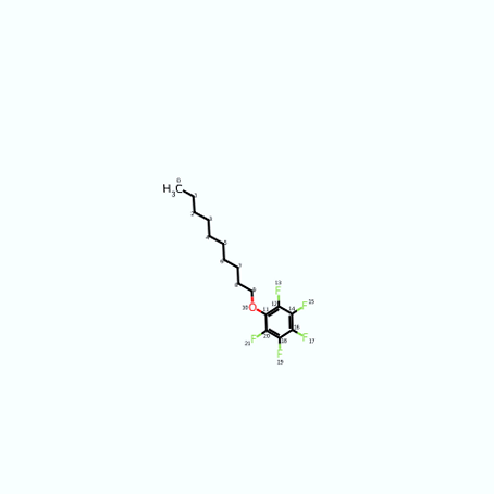 CCCCCCCCCCOc1c(F)c(F)c(F)c(F)c1F